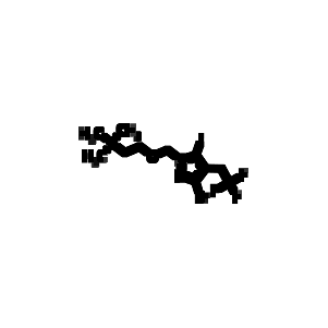 C[Si](C)(C)CCOCn1nc(Br)c(CC(F)(F)F)c1I